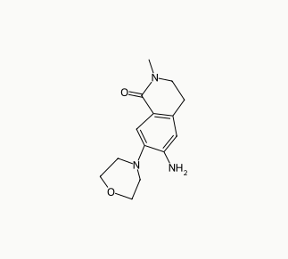 CN1CCc2cc(N)c(N3CCOCC3)cc2C1=O